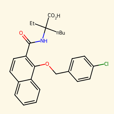 CCCCC(CC)(NC(=O)c1ccc2ccccc2c1OCc1ccc(Cl)cc1)C(=O)O